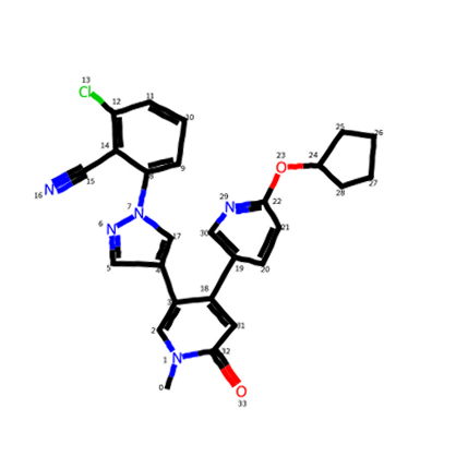 Cn1cc(-c2cnn(-c3cccc(Cl)c3C#N)c2)c(-c2ccc(OC3CCCC3)nc2)cc1=O